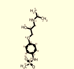 CC(C)NCC(O)COc1ccc(NS(C)(=O)=O)cc1